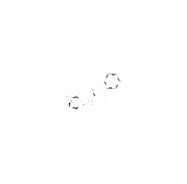 O=C(Nc1ccccc1)Nn1ccnc1